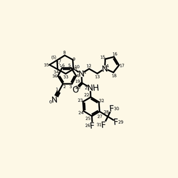 N#Cc1cccc([C@]23CC[C@@H](N(CCN4CC=CC4)C(=O)Nc4ccc(F)c(C(F)(F)F)c4)CC2C3)c1